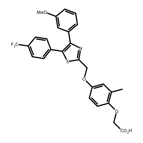 COc1cccc(-c2nc(COc3ccc(OCC(=O)O)c(C)c3)sc2-c2ccc(C(F)(F)F)cc2)c1